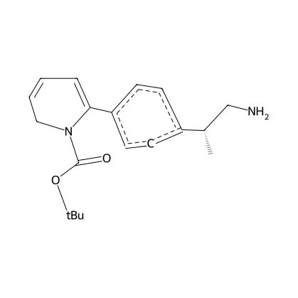 C[C@@H](CN)c1ccc(C2=CC=CCN2C(=O)OC(C)(C)C)cc1